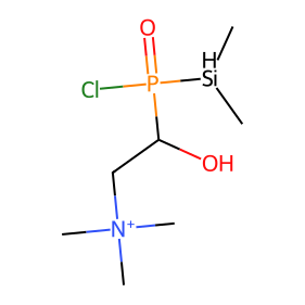 C[SiH](C)P(=O)(Cl)C(O)C[N+](C)(C)C